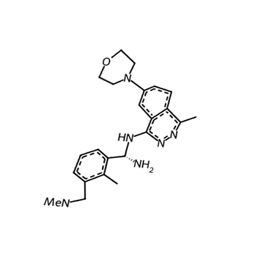 CNCc1cccc([C@@H](N)Nc2nnc(C)c3ccc(N4CCOCC4)cc23)c1C